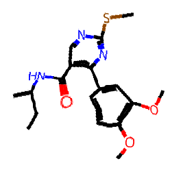 CCC(C)NC(=O)c1cnc(SC)nc1-c1ccc(OC)c(OC)c1